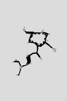 CN(C)C=CC(=O)c1cc(Cl)ncc1Cl